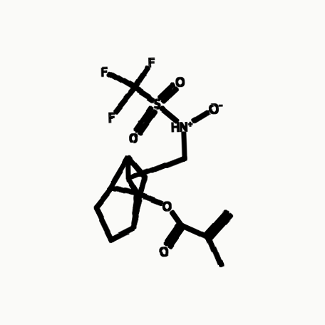 C=C(C)C(=O)OC12C3CCC1C(C3)C2C[NH+]([O-])S(=O)(=O)C(F)(F)F